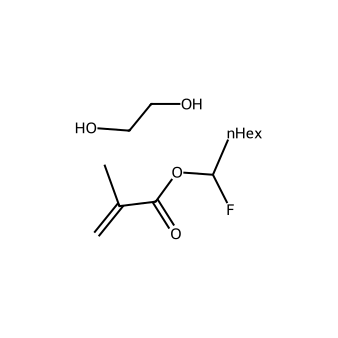 C=C(C)C(=O)OC(F)CCCCCC.OCCO